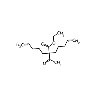 C=CCCCC(CCCC=C)(C(C)=O)C(=O)OCC